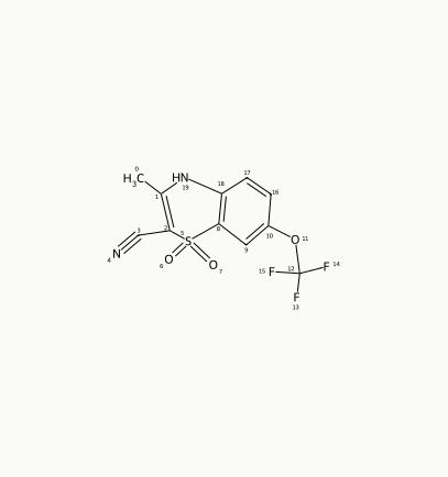 CC1=C(C#N)S(=O)(=O)c2cc(OC(F)(F)F)ccc2N1